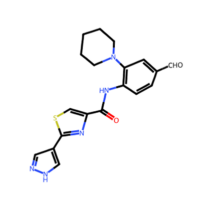 O=Cc1ccc(NC(=O)c2csc(-c3cn[nH]c3)n2)c(N2CCCCC2)c1